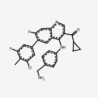 Cc1c(F)cc(-c2cc3c(Nc4ccc(CN)cc4)c(C(=O)C4CC4)cnc3cc2F)cc1Cl